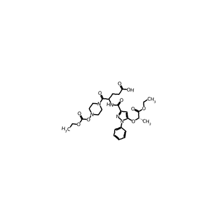 CCOC(=O)ON1CCN(C(=O)C(CCC(=O)O)NC(=O)c2cc(O[C@@H](C)C(=O)OCC)n(-c3ccccc3)n2)CC1